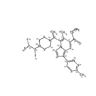 C=C(c1c(C)c(C(=O)OC(C)C)cc2c(-c3ccc(C)nn3)ccn12)N1CCN(C(F)C(F)F)CC1